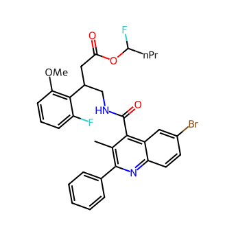 CCCC(F)OC(=O)CC(CNC(=O)c1c(C)c(-c2ccccc2)nc2ccc(Br)cc12)c1c(F)cccc1OC